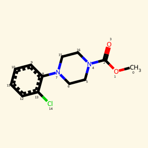 COC(=O)N1CCN(c2ccccc2Cl)CC1